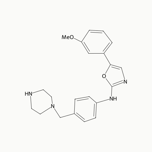 COc1cccc(-c2cnc(Nc3ccc(CN4CCNCC4)cc3)o2)c1